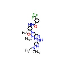 CCN(CC)c1ccc(Nc2ncc3c(n2)N(C)C(=O)N(c2cc(NC(=O)c4cccc(C(F)(F)F)c4)ccc2C)C3)cn1